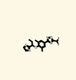 CCC(Oc1c(C)cc(-c2noc(C(F)F)n2)cc1C)c1nccs1